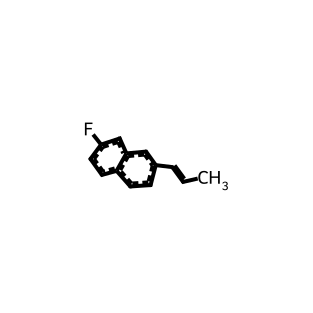 C/C=C/c1ccc2ccc(F)cc2c1